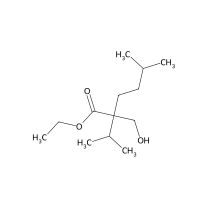 CCOC(=O)C(CO)(CCC(C)C)C(C)C